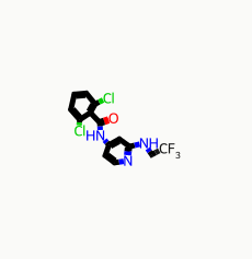 O=C(Nc1ccnc(NCC(F)(F)F)c1)c1c(Cl)cccc1Cl